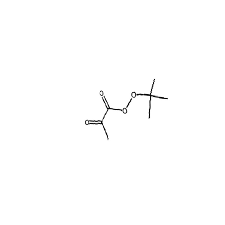 CC(=O)C(=O)OOC(C)(C)C